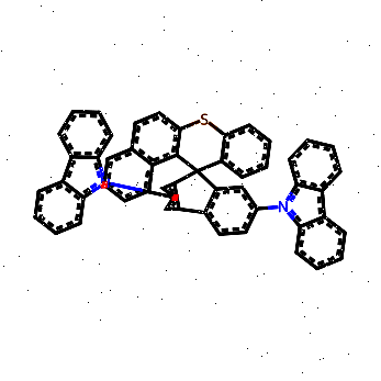 c1ccc2c(c1)Sc1ccc3ccccc3c1C21c2cc(-n3c4ccccc4c4ccccc43)ccc2-c2ccc(-n3c4ccccc4c4ccccc43)cc21